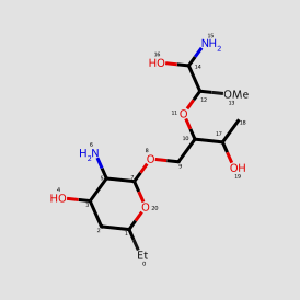 CCC1CC(O)C(N)C(OCC(OC(OC)C(N)O)C(C)O)O1